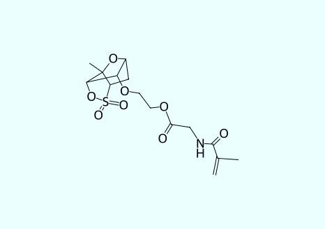 C=C(C)C(=O)NCC(=O)OCCOC1C2CC3C(C)(O2)C1OS3(=O)=O